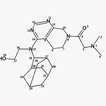 CN(C)CC(=O)N1CCc2c(ncnc2N(CCO)C2C3CC4CC(C3)CC2C4)C1